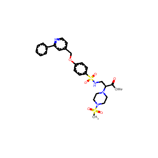 COC(=O)C(CNS(=O)(=O)c1ccc(OCc2ccnc(-c3ccccc3)c2)cc1)N1CCN(S(C)(=O)=O)CC1